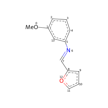 COc1cccc(N=Cc2ccco2)c1